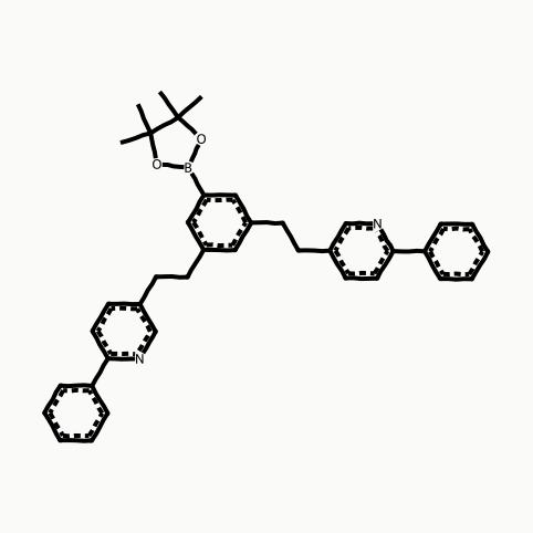 CC1(C)OB(c2cc(CCc3ccc(-c4ccccc4)nc3)cc(CCc3ccc(-c4ccccc4)nc3)c2)OC1(C)C